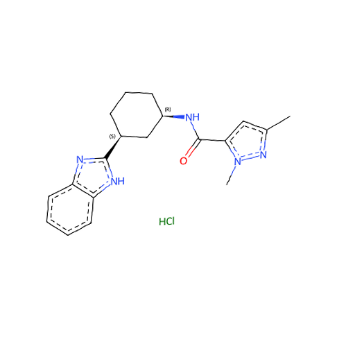 Cc1cc(C(=O)N[C@@H]2CCC[C@H](c3nc4ccccc4[nH]3)C2)n(C)n1.Cl